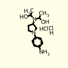 CC(O)N(C(C)O)C1CCN(c2ccc(N)cc2)C1.Cl.Cl